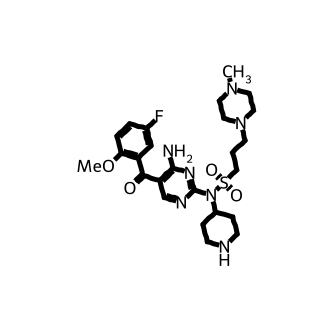 COc1ccc(F)cc1C(=O)c1cnc(N(C2CCNCC2)S(=O)(=O)CCCN2CCN(C)CC2)nc1N